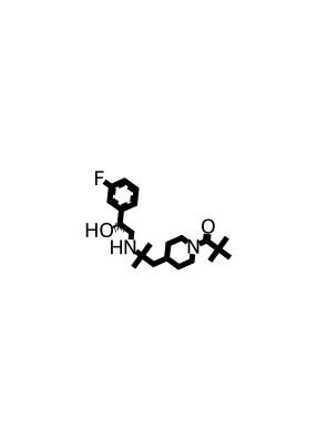 CC(C)(CC1CCN(C(=O)C(C)(C)C)CC1)NC[C@H](O)c1cccc(F)c1